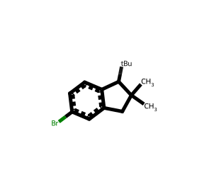 CC(C)(C)C1c2ccc(Br)cc2CC1(C)C